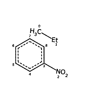 CCC.O=[N+]([O-])c1ccccc1